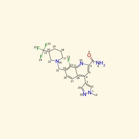 Cn1cc(-c2cc(C(N)=O)nc3c(F)c(CN4CCCC(C(F)(F)F)C4)ccc23)cn1